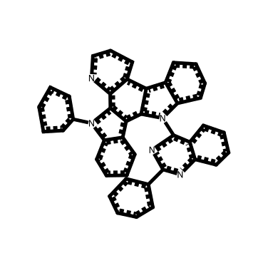 c1ccc(-c2nc(-n3c4ccccc4c4c5cccnc5c5c(c6ccccc6n5-c5ccccc5)c43)c3ccccc3n2)cc1